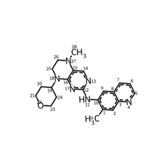 Cc1cc2ncccc2cc1Nc1ncc2c(n1)N(C1CCOCC1)CCN2C